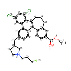 COC(O)c1ccc2c(c1)CCCC(c1ccc(Cl)cc1Cl)=C2c1ccc(CC2CCN(CCCF)C2)cc1